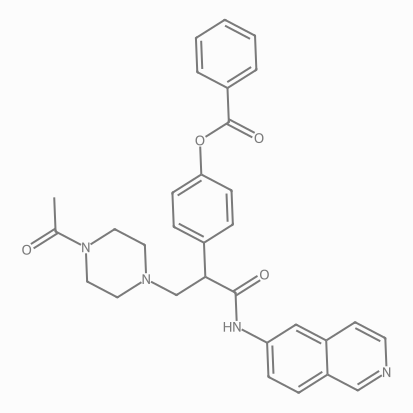 CC(=O)N1CCN(CC(C(=O)Nc2ccc3cnccc3c2)c2ccc(OC(=O)c3ccccc3)cc2)CC1